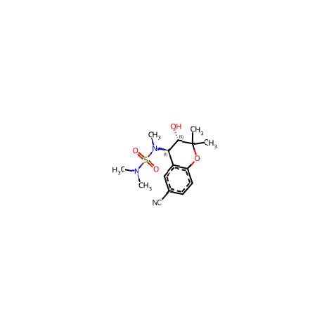 CN(C)S(=O)(=O)N(C)[C@@H]1c2cc(C#N)ccc2OC(C)(C)[C@H]1O